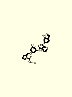 CC(C)(C)OC(=O)N1CCC/C1=C/Oc1cc(NC(=O)c2cccnc2Nc2ccc3cn[nH]c3c2)cc(C(F)(F)F)c1